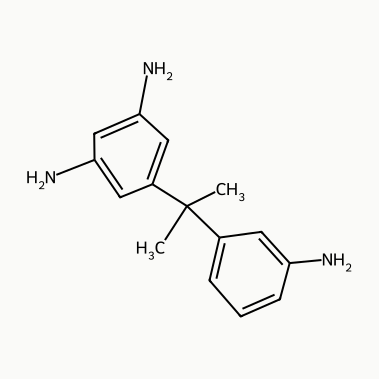 CC(C)(c1cccc(N)c1)c1cc(N)cc(N)c1